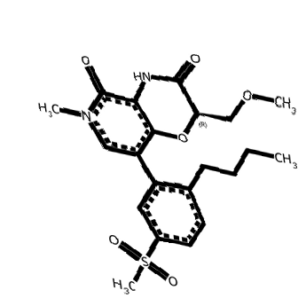 CCCCc1ccc(S(C)(=O)=O)cc1-c1cn(C)c(=O)c2c1O[C@H](COC)C(=O)N2